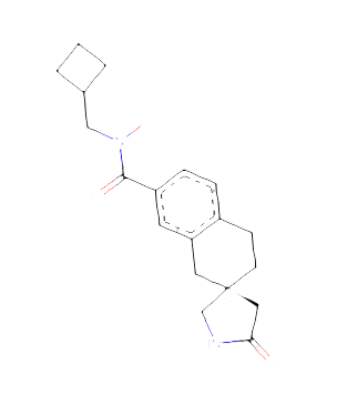 O=C1C[C@@]2(CCc3ccc(C(=O)N(O)CC4CCC4)cc3C2)CN1